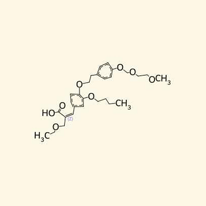 CCCCOc1cc(/C=C(/COCC)C(=O)O)ccc1OCCc1ccc(OCOCCOC)cc1